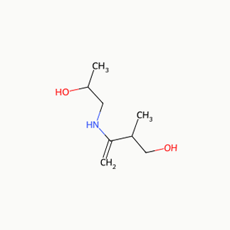 C=C(NCC(C)O)C(C)CO